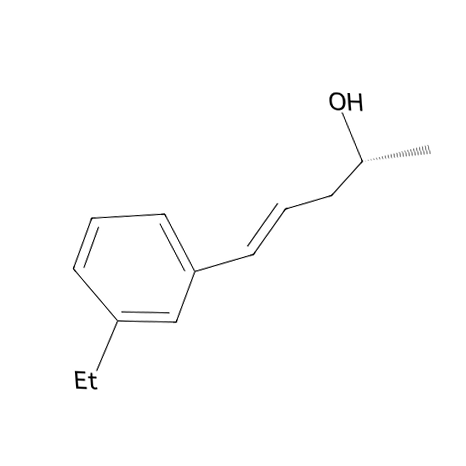 CCc1cccc(/C=C/C[C@@H](C)O)c1